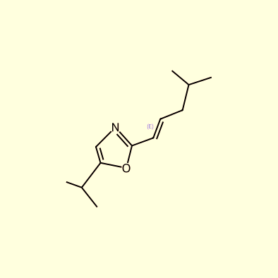 CC(C)C/C=C/c1ncc(C(C)C)o1